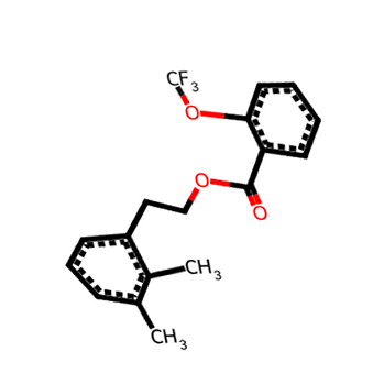 Cc1cccc(CCOC(=O)c2ccccc2OC(F)(F)F)c1C